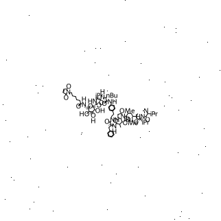 CCCCC(NC(=O)[C@H](NC(=O)[C@H]1O[C@@H](CNC(=O)CCCCCN2C(=O)C=CC2=O)C(O)[C@@H](O)C1O)C(C)C)C(=O)Nc1ccc(CCNC(=O)[C@H](Cc2ccccc2)NC(=O)C(C)C(OC)C2CCCN2C(=O)CC(OC)C(C(C)CC)C(C)C(=O)[C@@H](NC(=O)C(C(C)C)N(C)C)C(C)C)cc1